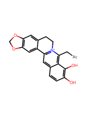 CC(=O)Cc1c2c(O)c(O)ccc2cc2[n+]1CCc1cc3c(cc1-2)OCO3